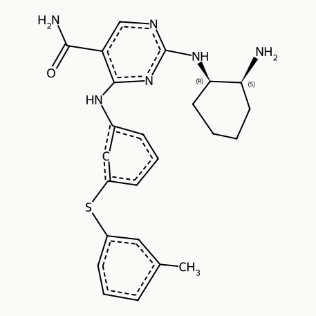 Cc1cccc(Sc2cccc(Nc3nc(N[C@@H]4CCCC[C@@H]4N)ncc3C(N)=O)c2)c1